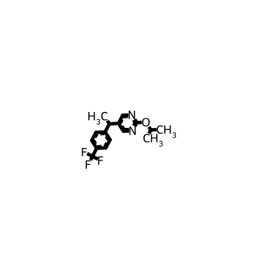 CC(C)Oc1ncc(C(C)c2ccc(C(F)(F)F)cc2)cn1